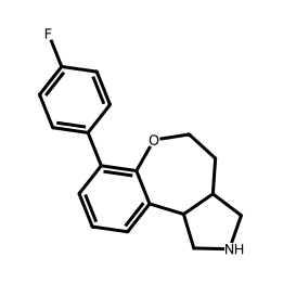 Fc1ccc(-c2cccc3c2OCCC2CNCC32)cc1